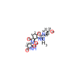 C[C@H](Nc1cccc2c1C(=O)N(C1CCC(=O)NC1=O)C2=O)C(=O)N1CCC(C=O)CC1